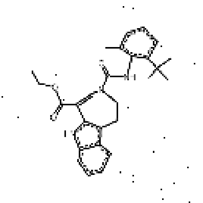 CCOC(=O)C1=CN(C(=O)Nc2c(C)cccc2C(C)(C)C)CCc2c1[nH]c1ccccc21